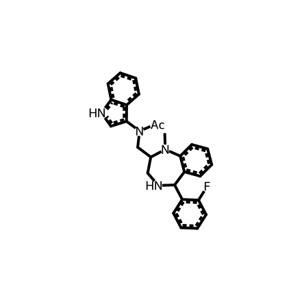 CC(=O)N(CC1CNC(c2ccccc2F)c2ccccc2N1C)c1c[nH]c2ccccc12